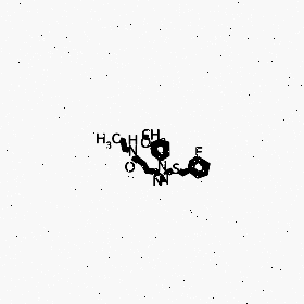 CCCNC(=O)CCc1nnc(SCc2cccc(F)c2)n1-c1cccc(OC)c1